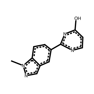 Cn1ncc2cc(-c3nccc(O)n3)ccc21